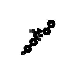 O=C(O)[C@@]1(NS(=O)(=O)c2ccc(-c3ccc(Cl)cc3)cc2)C[C@H]1c1cccc(-c2ccccc2)c1